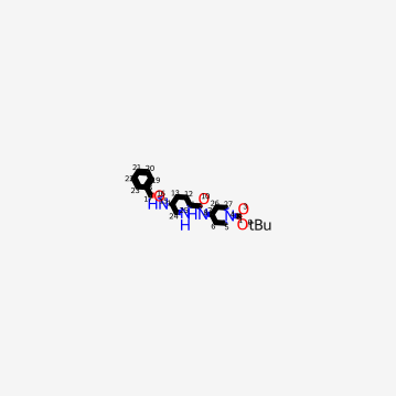 CC(C)(C)OC(=O)N1CCC(NC(=O)C2CC[C@@H](NOCc3ccccc3)CN2)CC1